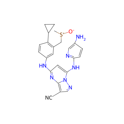 C[S+]([O-])Cc1cc(Nc2cc(Nc3ccc(N)cn3)n3ncc(C#N)c3n2)ccc1C1CC1